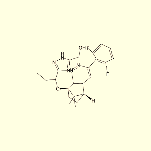 CCC(O[C@@]12CC[C@@H](c3cc(-c4c(F)cccc4F)nnc31)C2(C)C)c1n[nH]c(CO)n1